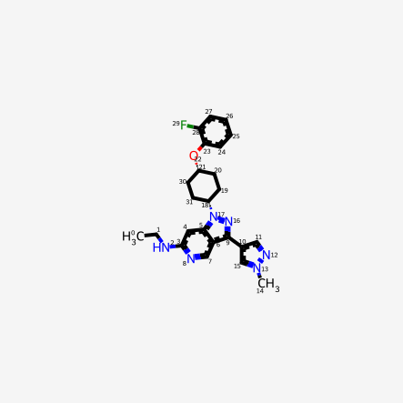 CCNc1cc2c(cn1)c(-c1cnn(C)c1)nn2[C@H]1CC[C@@H](Oc2ccccc2F)CC1